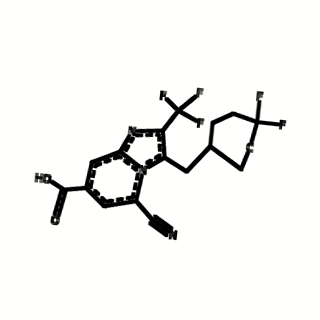 N#Cc1cc(C(=O)O)cc2nc(C(F)(F)F)c(CC3CCC(F)(F)CC3)n12